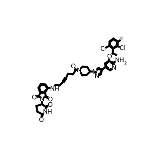 CC(Oc1cc(-c2cnn(C3CCN(C(=O)CCC#CCCNc4cccc5c4C(=O)N(C4CCC(=O)NC4=O)C5=O)CC3)c2)cnc1N)c1c(Cl)ccc(F)c1Cl